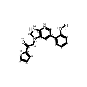 CCOc1ccccc1-c1cnc2c(c1)N(CC(=O)c1cccs1)CN2